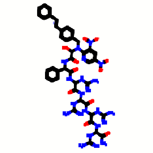 N=C(N)NC(NC(=O)C(NC(=N)N)NC(=O)C(NC(=N)N)NC(=O)C(NC(=N)N)NC(=O)C(NC(=O)C(O)N(Cc1ccc(/C=C/c2ccccc2)cc1)c1ncc([N+](=O)[O-])cc1[N+](=O)[O-])c1ccccc1)C(N)=O